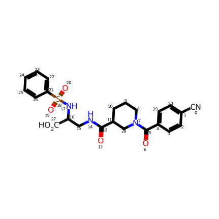 N#Cc1ccc(C(=O)N2CCCC(C(=O)NCC(NS(=O)(=O)c3ccccc3)C(=O)O)C2)cc1